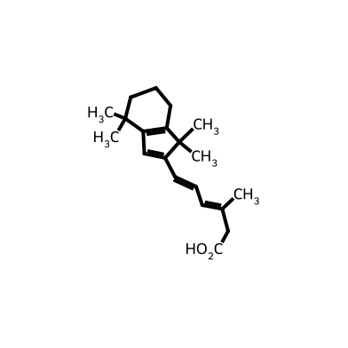 C/C(=C\C=C\C1=CC2=C(CCCC2(C)C)C1(C)C)CC(=O)O